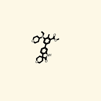 CCN(c1cc(-c2ccc3c(c2)NC(=O)C32CCOCC2)cc(C(=O)OC)c1C)C1CCOCC1